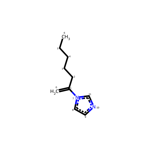 C=C(CCCCC)n1ccnc1